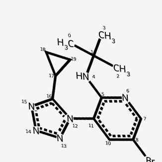 CC(C)(C)Nc1ncc(Br)cc1-n1nnnc1C1CC1